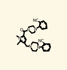 Cc1c(CN2CCN(c3ccccc3C#N)CC2)cc(C(=O)N2CCN(c3ccccc3C#N)CC2)n1C